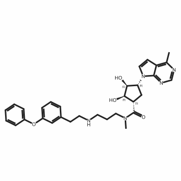 Cc1ncnc2c1ccn2[C@@H]1C[C@H](C(=O)N(C)CCCNCCc2cccc(Oc3ccccc3)c2)[C@@H](O)[C@H]1O